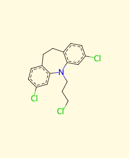 ClCCCN1c2cc(Cl)ccc2CCc2ccc(Cl)cc21